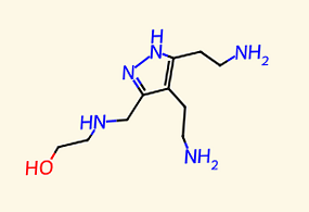 NCCc1[nH]nc(CNCCO)c1CCN